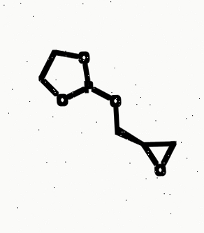 C1COP(OC[C@H]2CO2)O1